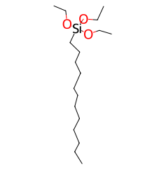 CCCCCCCCCCCC[Si](OCC)(OCC)OCC